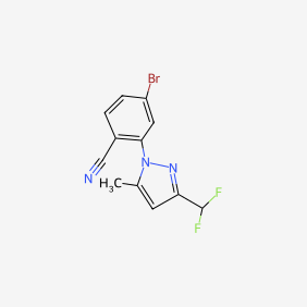 Cc1cc(C(F)F)nn1-c1cc(Br)ccc1C#N